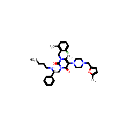 Cc1c(N2CCN(Cc3ccc(C(F)(F)F)o3)CC2)c(=O)n(C[C@H](NCCCS(=O)(=O)O)c2ccccc2)c(=O)n1Cc1c(F)cccc1C(F)(F)F